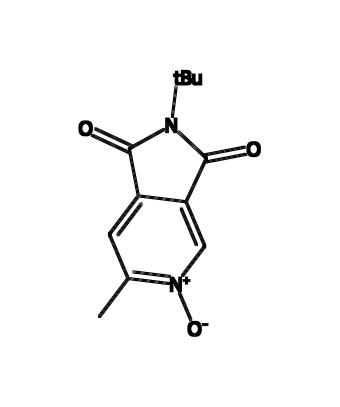 Cc1cc2c(c[n+]1[O-])C(=O)N(C(C)(C)C)C2=O